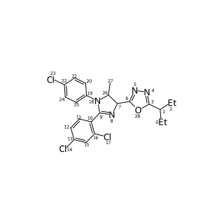 CCC(CC)c1nnc(C2N=C(c3ccc(Cl)cc3Cl)N(c3ccc(Cl)cc3)C2C)o1